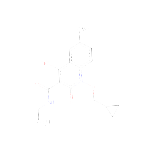 COc1ccc2c(c1)c(O)c(C(=O)NCC(=O)O)c(=O)n2OCC1CC1